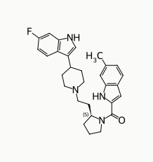 Cc1ccc2cc(C(=O)N3CCC[C@H]3CCN3CCC(c4c[nH]c5cc(F)ccc45)CC3)[nH]c2c1